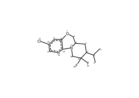 CC(C)C1CC2COc3cc(Cl)cnc3N2CC1(F)F